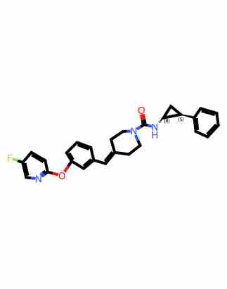 O=C(N[C@@H]1C[C@H]1c1ccccc1)N1CCC(=Cc2cccc(Oc3ccc(F)cn3)c2)CC1